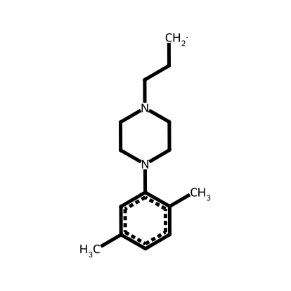 [CH2]CCN1CCN(c2cc(C)ccc2C)CC1